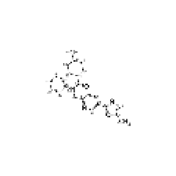 Cc1nnc(-c2ccc(CN(C(=O)C3CCN(C)CC3)c3ccccc3)nc2)o1